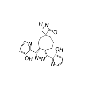 CC1(C(N)=O)CCCc2c(-c3ncccc3O)nnc(-c3ncccc3O)c2CC1